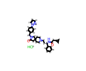 Cl.O=C(CC1CC1)N[C@@H](CCN1CCC2(CC1)CC(=O)N(Cc1ccc(-n3cccn3)cc1)C2)c1ccccc1